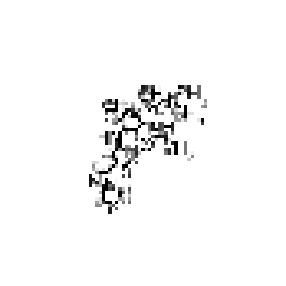 C=CC(=O)Nc1cc(Nc2cc(-c3cnc4ccccn34)ccn2)c(OC)cc1N(C)CCN(C)C